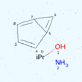 CC(C)O.N.c1cc2cc-2c1